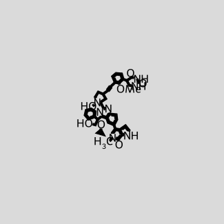 COc1c(C#CC2CCN(O)C(c3nc(C(CO)(OC4CC4)c4ccccc4)c4cc(-c5cn(C)c(=O)c6[nH]ccc56)ccc4n3)C2)cccc1C1CNC(=O)NC1=O